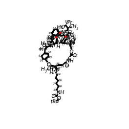 CC[C@H](C)[C@H]1NC(=O)[C@@H](NC(=O)[C@H](C)[C@H](O)C(C)C)[C@@H](C)OC(=O)[C@@H]2COC(=O)CNC(=O)/C=C/[C@](O)(CNCCCCCCNC(=O)OC(C)(C)C)[C@@H](C)OC3=CC=C(CC3)[C@H](NC1=O)C(=O)N(C)C(Cc1ccccc1)C(=O)N[C@H]([C@@H](C)O)C(=O)N2